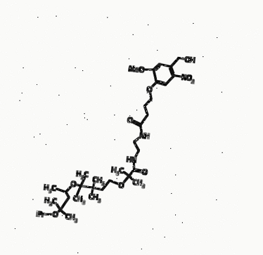 COc1cc(CO)c([N+](=O)[O-])cc1OCCCC(=O)NCCNC(=O)C(C)(C)OCCC(C)(C)C(C)(C)OC(C)CC(C)(C)OC(C)C